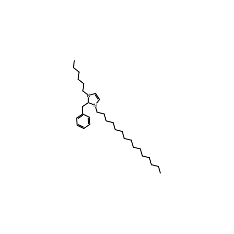 CCCCCCCCCCCCCCCN1C=CN(CCCCCC)C1Cc1ccccc1